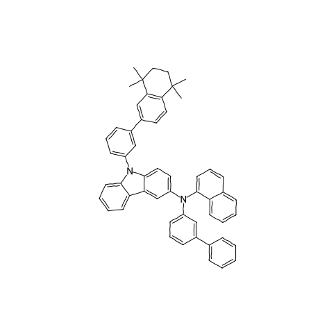 CC1(C)CCC(C)(C)c2cc(-c3cccc(-n4c5ccccc5c5cc(N(c6cccc(-c7ccccc7)c6)c6cccc7ccccc67)ccc54)c3)ccc21